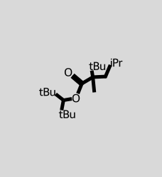 CC(C)CC(C)(C(=O)OC(C(C)(C)C)C(C)(C)C)C(C)(C)C